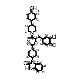 CN1CCC(C2CCN(C(=O)[C@@H](Cc3ccc(Cl)c(Cl)c3)OC(=O)N3CCC(n4c(=O)[nH]c5ccccc54)CC3)CC2)CC1